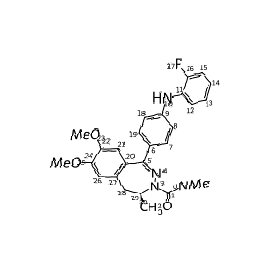 CNC(=O)N1N=C(c2ccc(Nc3ccccc3F)cc2)c2cc(OC)c(OC)cc2C[C@@H]1C